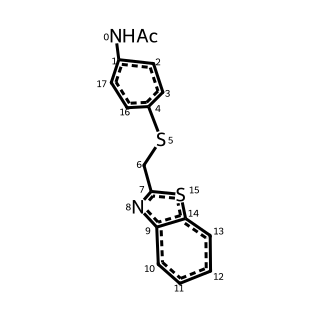 CC(=O)Nc1ccc(SCc2nc3ccccc3s2)cc1